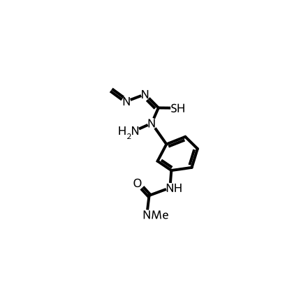 C=N/N=C(/S)N(N)c1cccc(NC(=O)NC)c1